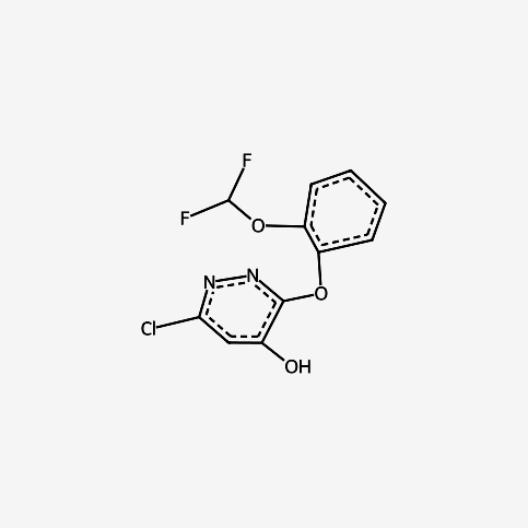 Oc1cc(Cl)nnc1Oc1ccccc1OC(F)F